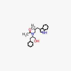 C[C](Cc1c[nH]c2ccccc12)CN(C(C)=O)C(CO)Cc1ccccc1